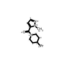 CC(C)C1CCN(C(=O)c2ccnn2C)CC1